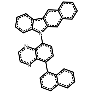 c1ccc2cc3c(cc2c1)c1ccccc1n3-c1ccc(-c2cccc3ccccc23)c2nccnc12